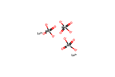 [Lu+3].[Lu+3].[O]=[Mn](=[O])([O-])[O-].[O]=[Mn](=[O])([O-])[O-].[O]=[Mn](=[O])([O-])[O-]